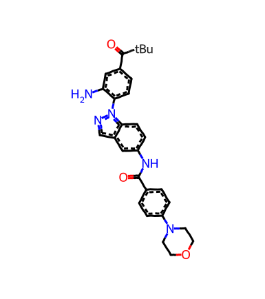 CC(C)(C)C(=O)c1ccc(-n2ncc3cc(NC(=O)c4ccc(N5CCOCC5)cc4)ccc32)c(N)c1